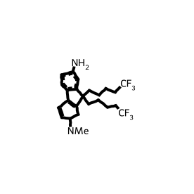 CNC1C=CC2=C(C1)C(CCCCC(F)(F)F)(CCCCC(F)(F)F)c1cc(N)ccc12